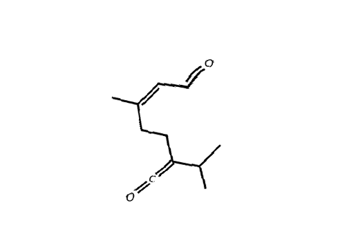 CC(=CC=O)CCC(=C=O)C(C)C